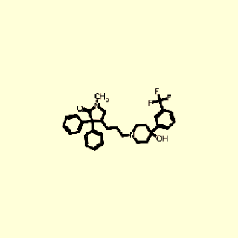 CN1CC(CCCN2CCC(O)(c3cccc(C(F)(F)F)c3)CC2)C(c2ccccc2)(c2ccccc2)C1=O